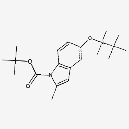 Cc1cc2cc(O[Si](C)(C)C(C)(C)C)ccc2n1C(=O)OC(C)(C)C